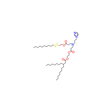 CCCCCCCCCCSSCCOC(=O)CCN(CCCn1ccnc1)CCC(=O)OCCOC(=O)CC(CCCCCCCC)CCCCCCCC